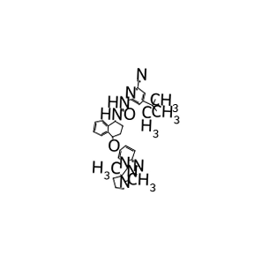 CN1CCCC1(C)c1nnc2ccc(O[C@@H]3CC[C@H](NC(=O)Nc4cc(C(C)(C)C)cc(C#N)n4)c4ccccc43)cn12